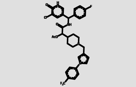 CC(=O)OC(C(=O)NC(c1ccc(F)cc1)c1c[nH]c(=O)c(Cl)c1)C1CCN(Cc2ccn(-c3ccc(C(F)(F)F)cc3)c2)CC1